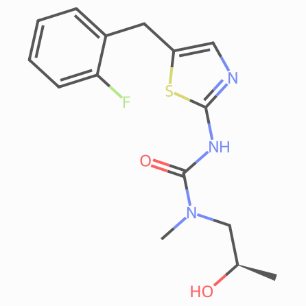 C[C@@H](O)CN(C)C(=O)Nc1ncc(Cc2ccccc2F)s1